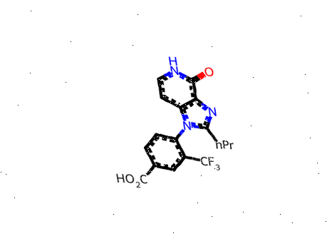 CCCc1nc2c(=O)[nH]ccc2n1-c1ccc(C(=O)O)cc1C(F)(F)F